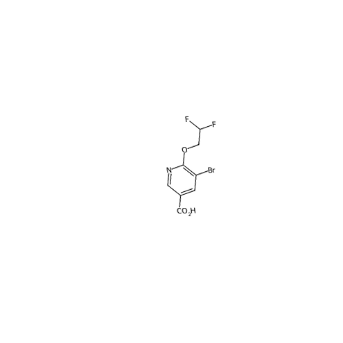 O=C(O)c1cnc(OCC(F)F)c(Br)c1